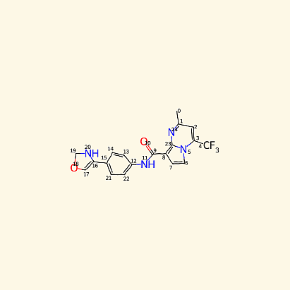 Cc1cc(C(F)(F)F)n2ccc(C(=O)Nc3ccc(C4=COCN4)cc3)c2n1